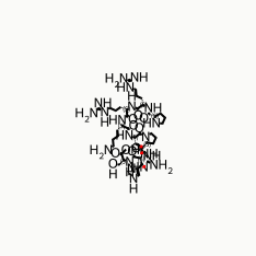 N=C(N)NCCC[C@H](NC(=O)[C@@H]1CCCN1)C(=O)N[C@@H](CCCNC(=N)N)C(=O)N[C@@H](CCCCN)C(=O)N[C@@H](CCCNC(=N)N)C(=O)N1CCC[C@H]1C(=O)N[C@@H](Cc1c[nH]cn1)C(=O)N[C@@H](CO)C(=O)O